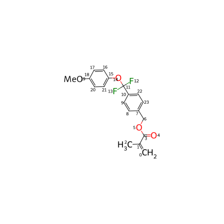 C=C(C)C(=O)OCc1ccc(C(F)(F)Oc2ccc(OC)cc2)cc1